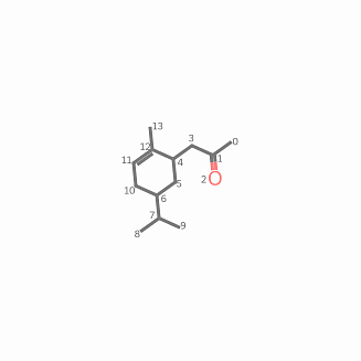 CC(=O)CC1CC(C(C)C)CC=C1C